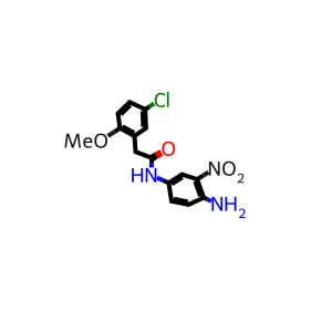 COc1ccc(Cl)cc1CC(=O)Nc1ccc(N)c([N+](=O)[O-])c1